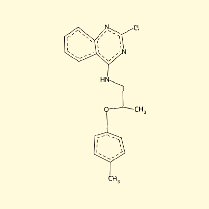 Cc1ccc(OC(C)CNc2nc(Cl)nc3ccccc23)cc1